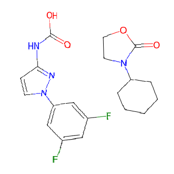 O=C(O)Nc1ccn(-c2cc(F)cc(F)c2)n1.O=C1OCCN1C1CCCCC1